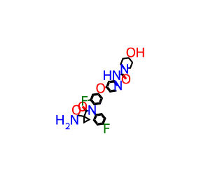 NC(=O)C1(C(=O)N(c2ccc(F)cc2)c2ccc(Oc3ccnc(NC(=O)N4CCC(O)CC4)c3)cc2F)CC1